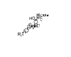 COC(=O)Nc1cc(Cl)c(NC(=O)C[N+]2(C)CCN(C)CC2)cc1O